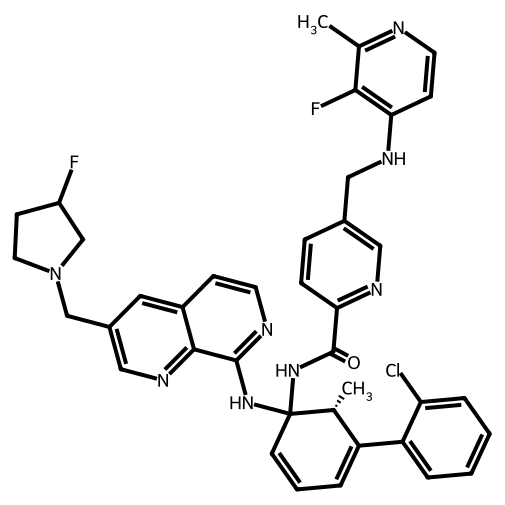 Cc1nccc(NCc2ccc(C(=O)NC3(Nc4nccc5cc(CN6CCC(F)C6)cnc45)C=CC=C(c4ccccc4Cl)[C@H]3C)nc2)c1F